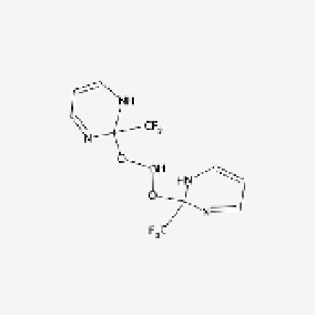 FC(F)(F)C1(OBOC2(C(F)(F)F)N=CC=CN2)N=CC=CN1